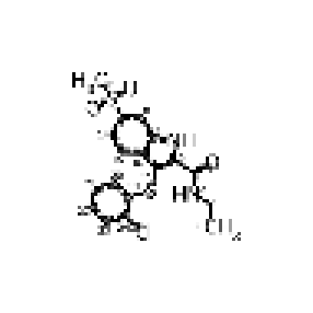 CCNC(=O)c1[nH]c2cc(S(C)(=O)=O)ccc2c1Sc1ccccc1Cl